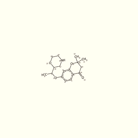 CC(Oc1ccc2c(c1)OC(C)(C)CC2=O)C1CNCCO1